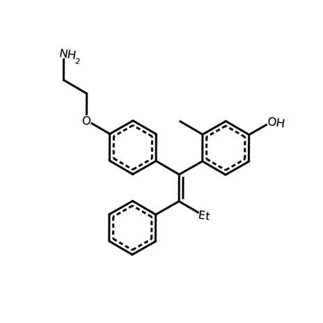 CCC(=C(c1ccc(OCCN)cc1)c1ccc(O)cc1C)c1ccccc1